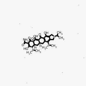 CC(C)N1Cc2c(O)c3c(c(N(C)C)c2C1)C[C@H]1C[C@H]2[C@H](N(C)C)C(O)=C(C(N)=O)C(=O)[C@@]2(O)C(O)=C1C3=O